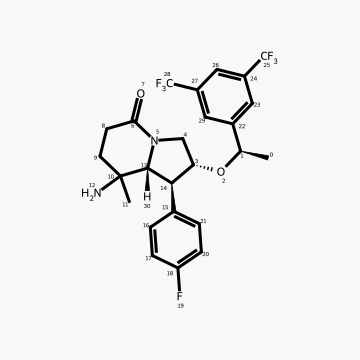 C[C@@H](O[C@H]1CN2C(=O)CCC(C)(N)[C@H]2[C@@H]1c1ccc(F)cc1)c1cc(C(F)(F)F)cc(C(F)(F)F)c1